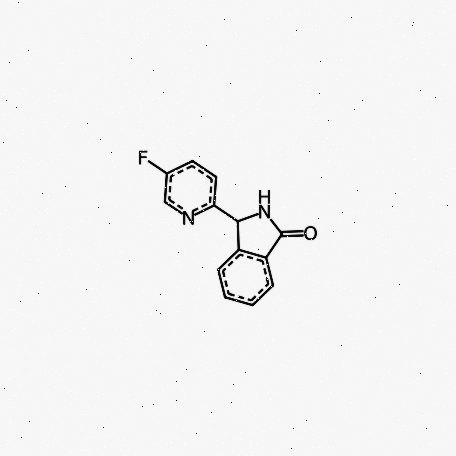 O=C1NC(c2ccc(F)cn2)c2ccccc21